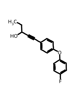 CCC(O)C#Cc1ccc(Oc2ccc(F)cc2)cc1